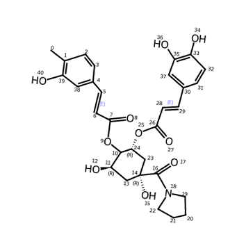 Cc1ccc(/C=C/C(=O)OC2[C@H](O)C[C@](O)(C(=O)N3CCCC3)C[C@H]2OC(=O)/C=C/c2ccc(O)c(O)c2)cc1O